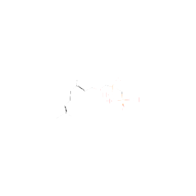 CC(C)=CCCC(C)=CCOCP(=O)(O)CP(=O)(O)O